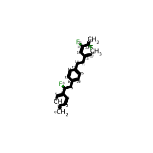 C=C/C=C\C(=C/C)C(F)Cc1ccc(CCC(=C/C)/C=C(/F)C(=C)F)cc1